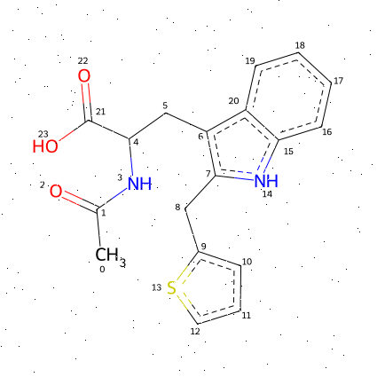 CC(=O)NC(Cc1c(Cc2cccs2)[nH]c2ccccc12)C(=O)O